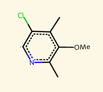 COc1c(C)n[c]c(Cl)c1C